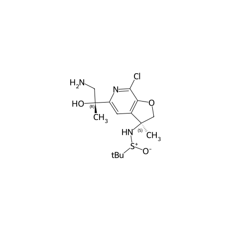 CC(C)(C)[S+]([O-])N[C@]1(C)COc2c1cc([C@](C)(O)CN)nc2Cl